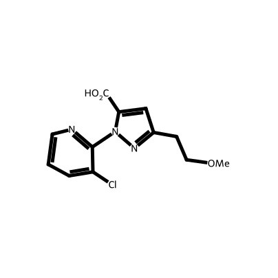 COCCc1cc(C(=O)O)n(-c2ncccc2Cl)n1